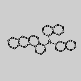 c1ccc2cc(N(c3cccc4ccccc34)c3cccc4c3ccc3cc5ccccc5cc34)ccc2c1